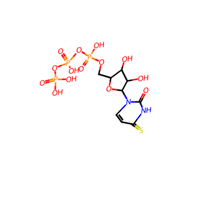 O=c1[nH]c(=S)ccn1C1OC(COP(=O)(O)OP(=O)(O)OP(=O)(O)O)C(O)C1O